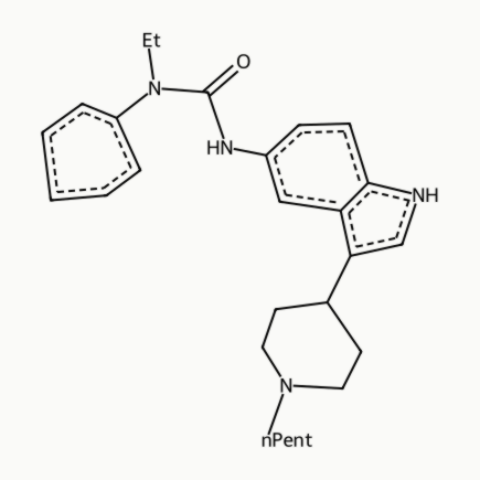 CCCCCN1CCC(c2c[nH]c3ccc(NC(=O)N(CC)c4ccccc4)cc23)CC1